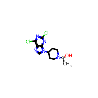 CB(O)N1CCC(n2cnc3c(Cl)nc(Cl)nc32)CC1